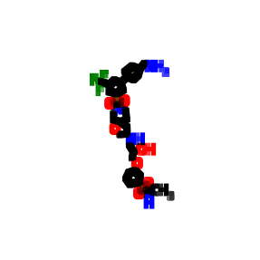 CNS(=O)(=O)c1cccc(OCC(O)CNC2COC3(CCN(S(=O)(=O)c4cc(-c5ccc(CN)cc5)cc(C(F)(F)F)c4)CC3)C2)c1